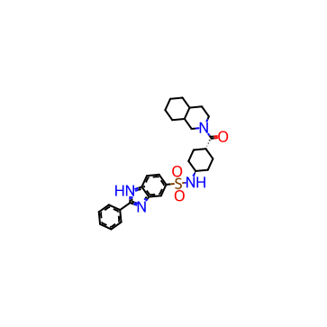 O=C([C@H]1CC[C@H](NS(=O)(=O)c2ccc3[nH]c(-c4ccccc4)nc3c2)CC1)N1CCC2CCCCC2C1